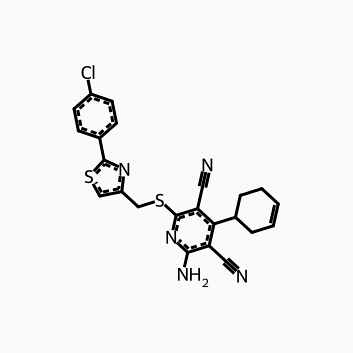 N#Cc1c(N)nc(SCc2csc(-c3ccc(Cl)cc3)n2)c(C#N)c1C1CC=CCC1